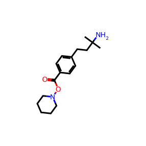 CC(C)(N)CCc1ccc(C(=O)ON2CCCCC2)cc1